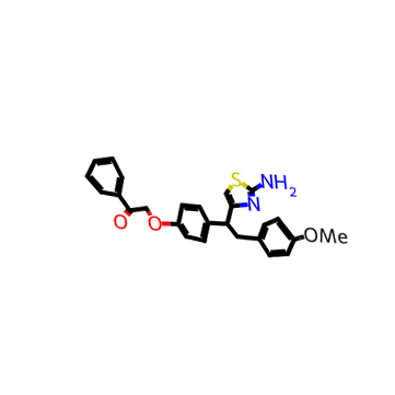 COc1ccc(CC(c2ccc(OCC(=O)c3ccccc3)cc2)c2csc(N)n2)cc1